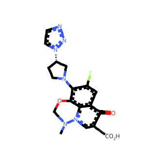 CN1COc2c(N3CC[C@H](n4ccnn4)C3)c(F)cc3c(=O)c(C(=O)O)cn1c23